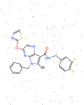 CC(C)c1c(C(=O)NCc2ccc(F)c(F)c2)c2ncc(Oc3nccs3)nc2n1Cc1ccccc1